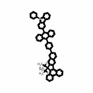 CC(C)(C)C1(C(C)(C)C)c2cc3cc(-c4ccc(-c5c6ccccc6c(-c6ccc7c(c6)c6ccccc6n7-c6ccccc6)c6ccccc56)cc4)ccc3cc2-c2c1c1ccccc1c1ccccc21